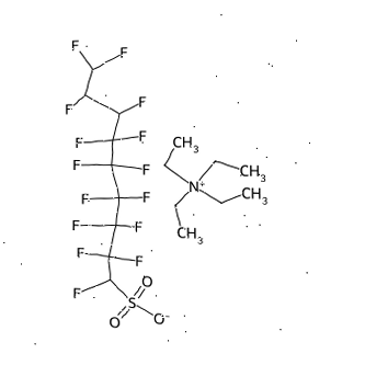 CC[N+](CC)(CC)CC.O=S(=O)([O-])C(F)C(F)(F)C(F)(F)C(F)(F)C(F)(F)C(F)(F)C(F)C(F)C(F)F